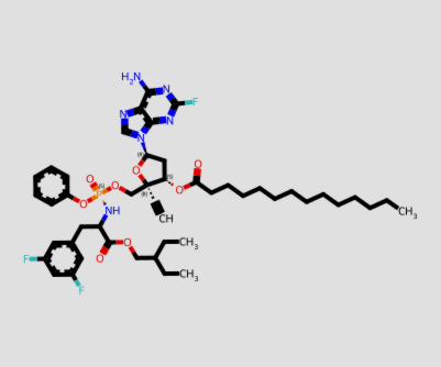 C#C[C@]1(CO[P@@](=O)(NC(Cc2cc(F)cc(F)c2)C(=O)OCC(CC)CC)Oc2ccccc2)O[C@@H](n2cnc3c(N)nc(F)nc32)C[C@@H]1OC(=O)CCCCCCCCCCCCC